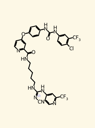 N#C/N=C(/NCCCCCNC(=O)c1cc(Oc2ccc(NC(=O)Nc3ccc(Cl)c(C(F)(F)F)c3)cc2)ccn1)Nc1ccnc(C(F)(F)F)c1